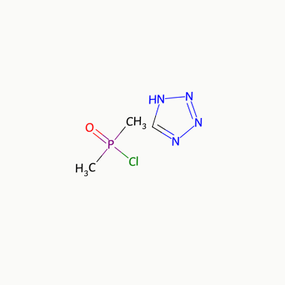 CP(C)(=O)Cl.c1nnn[nH]1